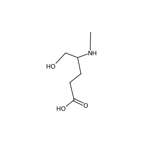 CNC(CO)CCC(=O)O